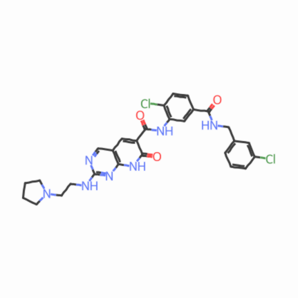 O=C(NCc1cccc(Cl)c1)c1ccc(Cl)c(NC(=O)c2cc3cnc(NCCN4CCCC4)nc3[nH]c2=O)c1